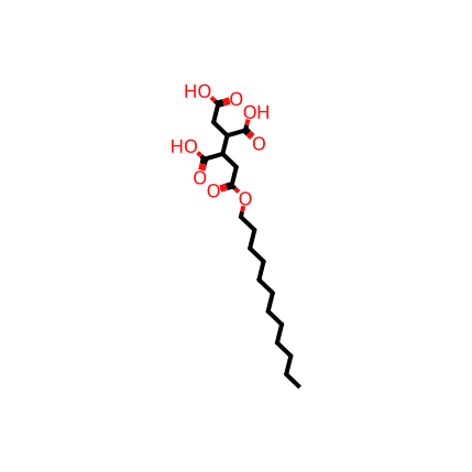 CCCCCCCCCCCCOC(=O)CC(C(=O)O)C(CC(=O)O)C(=O)O